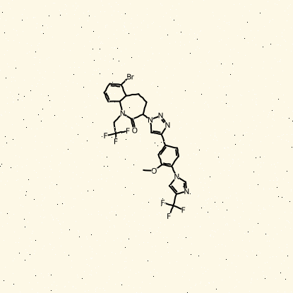 COc1cc(-c2cn(C3CCC4C(Br)=CC=CC4N(CC(F)(F)F)C3=O)nn2)ccc1-n1cnc(C(F)(F)F)c1